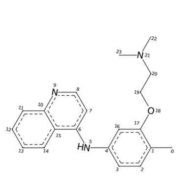 Cc1ccc(Nc2ccnc3ccccc23)cc1OCCN(C)C